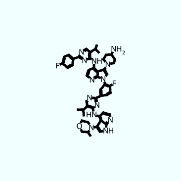 CC(C)c1cnc(-c2ccc(F)c(-n3cc(N4CCC(N)CC4)c4c(Nc5nc(-c6ccc(F)cc6)ncc5C(C)C)ccnc43)c2)nc1Nc1ccnc2[nH]cc(N3CCOCC3C)c12